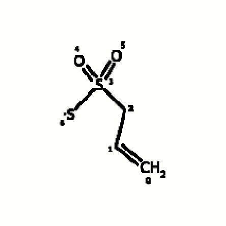 C=CCS(=O)(=O)[S]